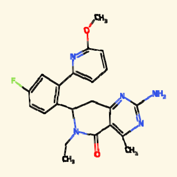 CCN1C(=O)c2c(C)nc(N)nc2CC1c1ccc(F)cc1-c1cccc(OC)n1